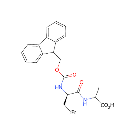 CC(C)C[C@@H](NC(=O)OCC1c2ccccc2-c2ccccc21)C(=O)NC(C)C(=O)O